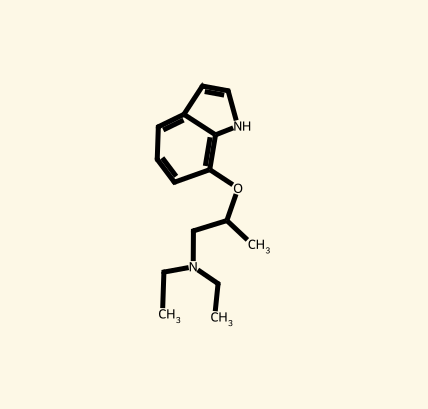 CCN(CC)CC(C)Oc1cccc2[c]c[nH]c12